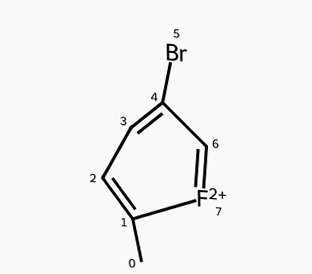 CC1=CC=C(Br)C=[F+2]1